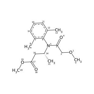 COCC(=O)N(c1c(C)cccc1C)[C@H](C)CC(=O)OC